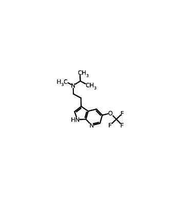 CC(C)N(C)CCc1c[nH]c2ncc(OC(F)(F)F)cc12